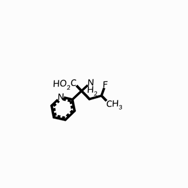 CC(F)CC(N)(C(=O)O)c1ccccn1